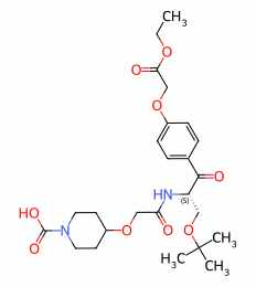 CCOC(=O)COc1ccc(C(=O)[C@H](COC(C)(C)C)NC(=O)COC2CCN(C(=O)O)CC2)cc1